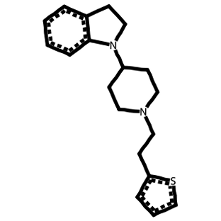 c1csc(CCN2CCC(N3CCc4ccccc43)CC2)c1